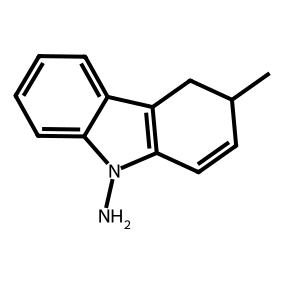 CC1C=Cc2c(c3ccccc3n2N)C1